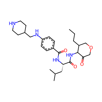 CCCC1COCC(=O)C1NC(=O)[C@H](CC(C)C)NC(=O)c1ccc(NCC2CCNCC2)cc1